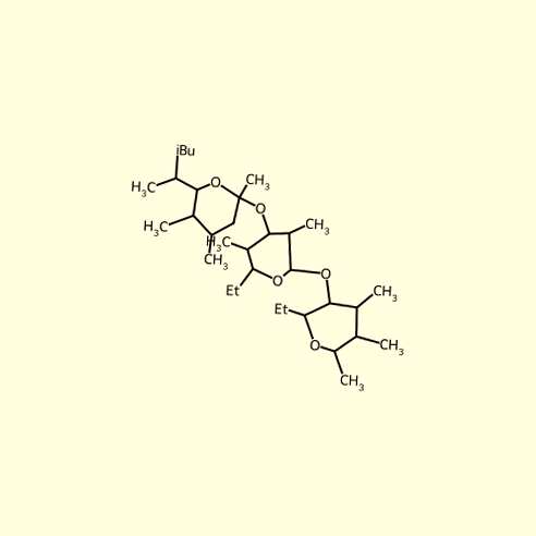 CCC(C)C(C)C1OC(C)(OC2C(C)C(CC)OC(OC3C(CC)OC(C)C(C)C3C)C2C)CC(C)C1C